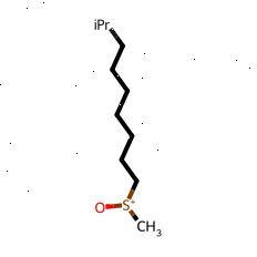 CC(C)CCCCCCC[S+](C)[O-]